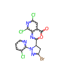 O=c1oc(C2CC(Br)=NN2c2ncccc2Cl)nc2c(Cl)nc(Cl)cc12